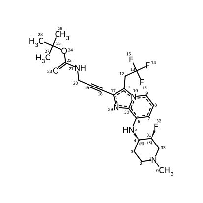 CN1CC[C@@H](Nc2cccn3c(CC(F)(F)F)c(C#CCNC(=O)OC(C)(C)C)nc23)[C@@H](F)C1